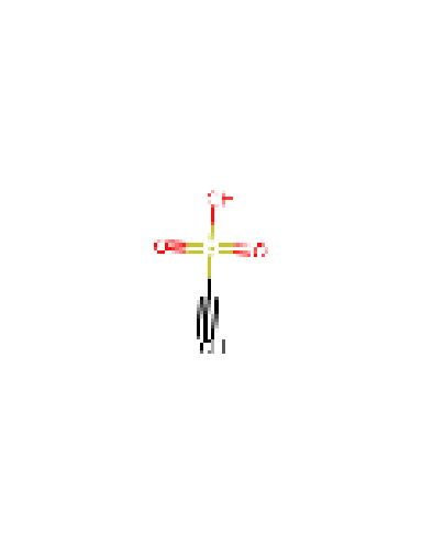 C#CS(=O)(=O)O